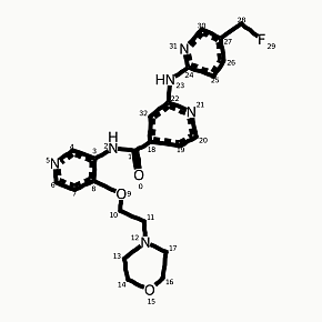 O=C(Nc1cnccc1OCCN1CCOCC1)c1ccnc(Nc2ccc(CF)cn2)c1